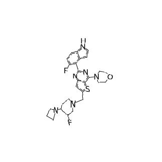 Fc1ccc2[nH]ccc2c1-c1nc(N2CCOCC2)c2sc(CN3CCC(N4CCC4)C(F)C3)cc2n1